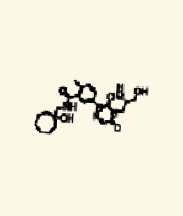 Cc1ccc(-n2ncc(=O)n(C[C@H](O)CO)c2=O)cc1C(=O)NCC1(O)CCCCCC1